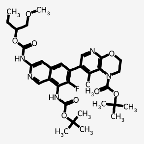 CCC(COC)OC(=O)Nc1cc2cc(-c3cnc4c(c3C)N(C(=O)OC(C)(C)C)CCO4)c(F)c(NC(=O)OC(C)(C)C)c2cn1